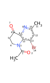 CC(=O)N1CCC(=O)c2nc(C)cc(Br)c21